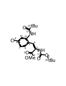 COC(=O)/C(=C\c1ccc(Cl)cc1NC(=O)C(C)(C)C)NC(=O)OC(C)(C)C